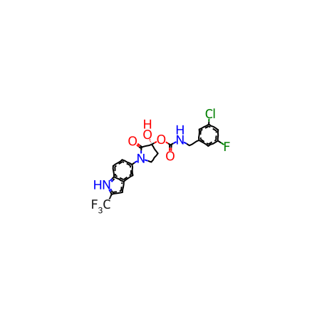 O=C(NCc1cc(F)cc(Cl)c1)O[C@@]1(O)CCN(c2ccc3[nH]c(C(F)(F)F)cc3c2)C1=O